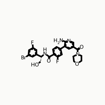 Nc1ncc(C(=O)N2CCOCC2)cc1-c1ccc(C(=O)N[C@H](CO)c2cc(F)cc(Br)c2)c(F)c1